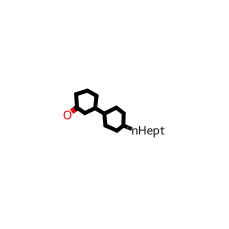 CCCCCCCC1CCC(C2CCCC(=O)C2)CC1